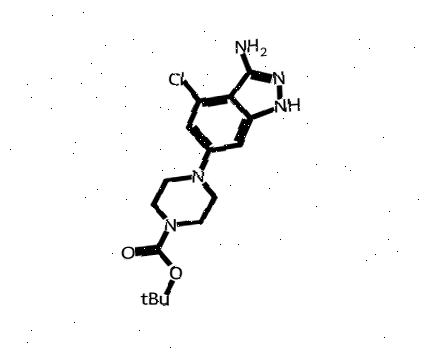 CC(C)(C)OC(=O)N1CCN(c2cc(Cl)c3c(N)n[nH]c3c2)CC1